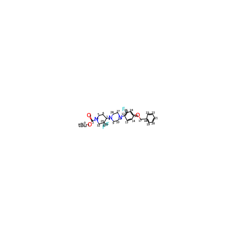 CC(C)(C)OC(=O)N1CCC(N2CCN(c3ccc(OCc4ccccc4)cc3F)CC2)C(F)(F)C1